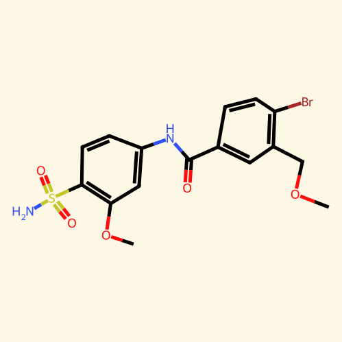 COCc1cc(C(=O)Nc2ccc(S(N)(=O)=O)c(OC)c2)ccc1Br